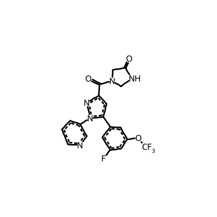 O=C1CN(C(=O)c2cc(-c3cc(F)cc(OC(F)(F)F)c3)n(-c3cccnc3)n2)CN1